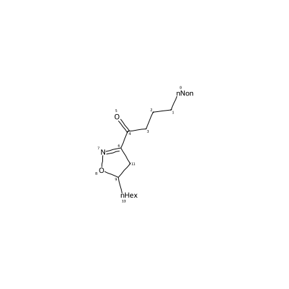 CCCCCCCCCCCCC(=O)C1=NOC(CCCCCC)C1